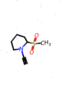 [C]#CN1CCCCC1S(C)(=O)=O